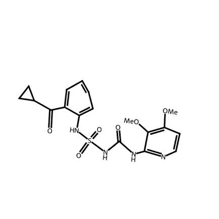 COc1ccnc(NC(=O)NS(=O)(=O)Nc2ccccc2C(=O)C2CC2)c1OC